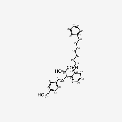 O=C(O)c1ccc(CSC(c2ccccc2CCCCCCCCc2ccccc2)C(O)C(=O)O)cc1